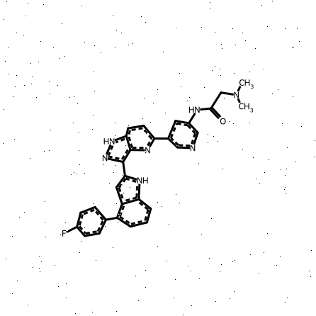 CN(C)CC(=O)Nc1cncc(-c2ccc3[nH]nc(-c4cc5c(-c6ccc(F)cc6)cccc5[nH]4)c3n2)c1